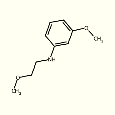 COCCNc1cccc(OC)c1